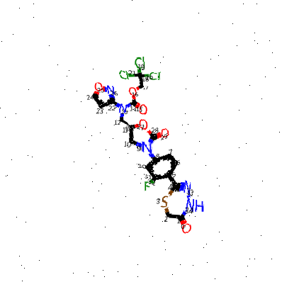 O=C1CSC(c2ccc(N3C[C@@H](CN(C(=O)OCC(Cl)(Cl)Cl)c4ccon4)OC3=O)cc2F)=NN1